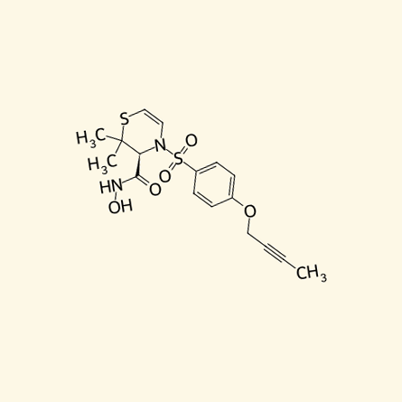 CC#CCOc1ccc(S(=O)(=O)N2C=CSC(C)(C)[C@@H]2C(=O)NO)cc1